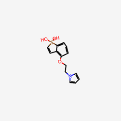 OS1(O)C=Cc2c(OCCn3cccc3)cccc21